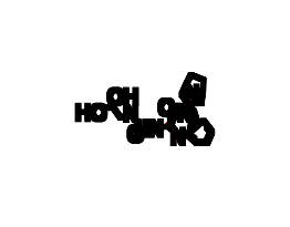 O=C(O)CNC(=O)CNc1nc2ccccc2n(C2CC3CCC(C2)N3C2CCCCCCC2)c1=O